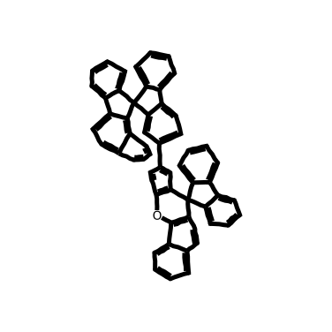 c1ccc2c(c1)-c1ccccc1C21c2cc(-c3ccc4c(c3)C3(c5ccccc5-4)c4ccccc4-c4ccc5ccccc5c43)ccc2Oc2c1ccc1ccccc21